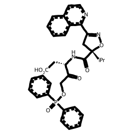 CC(C)[C@@]1(C(=O)N[C@@H](CC(=O)O)C(=O)COP(=O)(c2ccccc2)c2ccccc2)CC(c2nccc3ccccc23)=NO1